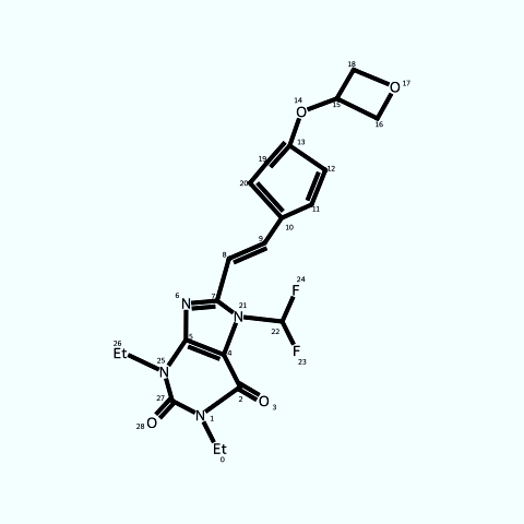 CCn1c(=O)c2c(nc(/C=C/c3ccc(OC4COC4)cc3)n2C(F)F)n(CC)c1=O